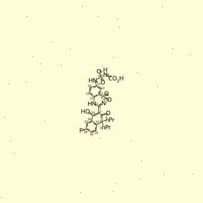 CCCC1(CCC)C(=O)C(C2=NS(=O)(=O)c3cc(NS(=O)(=O)NC(=O)O)ccc3N2)=C(O)c2cc(F)ccc21